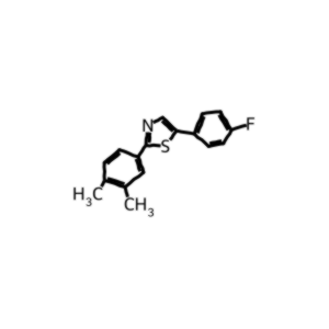 Cc1ccc(-c2ncc(-c3ccc(F)cc3)s2)cc1C